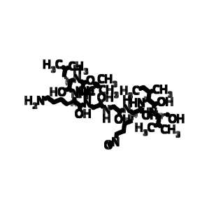 CCC(C)[C@@H](NC(O)[C@H](CCCCN=O)NC(O)CNC(O)CNC(O)[C@@H](CCCCN)NC(O)[C@H](CC(C)C)NC(O)OC(C)(C)C)C(O)N[C@H](CO)C(C)C